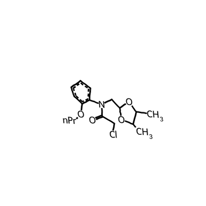 CCCOc1ccccc1N(CC1OC(C)C(C)O1)C(=O)CCl